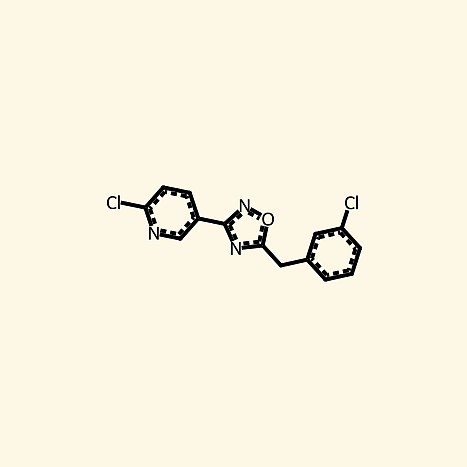 Clc1cccc(Cc2nc(-c3ccc(Cl)nc3)no2)c1